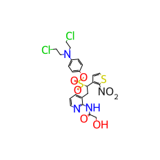 O=C(CO)Nc1ncccc1CC(c1ccsc1[N+](=O)[O-])S(=O)(=O)Oc1ccc(N(CCCl)CCCl)cc1